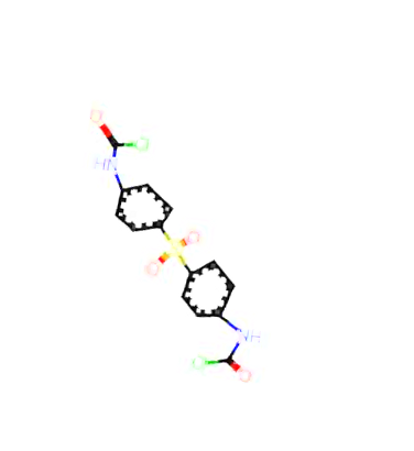 O=C(Cl)Nc1ccc(S(=O)(=O)c2ccc(NC(=O)Cl)cc2)cc1